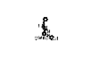 COc1ccc(-c2sc(NCCC3CCCCC3)nc2C)cc1[S+]([O-])NC1CCNCC1